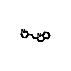 c1cncc(CCc2ccc3ccccc3n2)c1